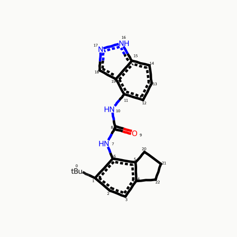 CC(C)(C)c1ccc2c(c1NC(=O)Nc1cccc3[nH]ncc13)CCC2